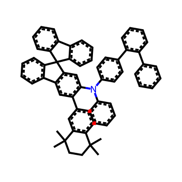 CC1(C)CCC(C)(C)c2cc(-c3cc4c(cc3N(c3ccccc3)c3ccc(-c5ccccc5-c5ccccc5)cc3)C3(c5ccccc5-c5ccccc53)c3ccccc3-4)ccc21